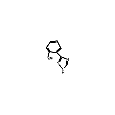 CCCCc1ccccc1-c1nc[nH]n1